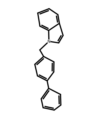 c1ccc(-c2ccc(Cn3ccc4ccccc43)cc2)cc1